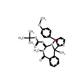 COc1ccc(CN2C(=NC(=O)OC(C)(C)C)N(C)C(=O)c3ccccc3C2(C)c2cccs2)cc1